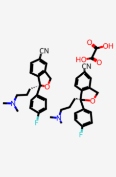 CN(C)CCC[C@@]1(c2ccc(F)cc2)OCc2cc(C#N)ccc21.CN(C)CCC[C@@]1(c2ccc(F)cc2)OCc2cc(C#N)ccc21.O=C(O)C(=O)O